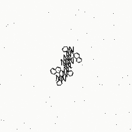 c1ccc2c(c1)ccc1c2c2nc3nc(-[n+]4c5ccccc5n5c6nc7ccccc7nc6c6c7ccccc7ccc6c54)cnc3nc2n2c3ccccc3nc12